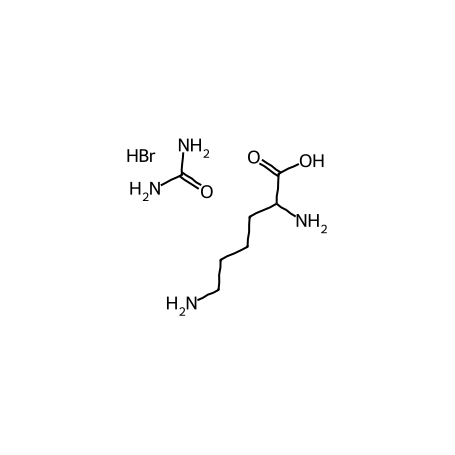 Br.NC(N)=O.NCCCCC(N)C(=O)O